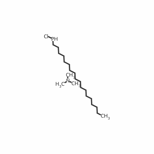 CCCCCCCCCCCCCCCCCCPCl.CN(C)C